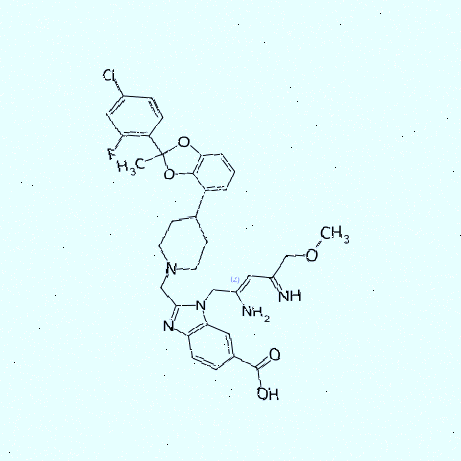 COCC(=N)/C=C(\N)Cn1c(CN2CCC(c3cccc4c3OC(C)(c3ccc(Cl)cc3F)O4)CC2)nc2ccc(C(=O)O)cc21